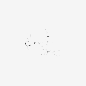 C=C[C@@H]1C[C@]1(NC(=O)[C@@H]1C[C@@H](OC(=O)Nc2cc(CF)ccc2N2CCCCC2)CN1C(=O)[C@@H](NC(=O)OC1CCCC1)C(C)(C)C)C(=O)NP(=O)(OC)OC